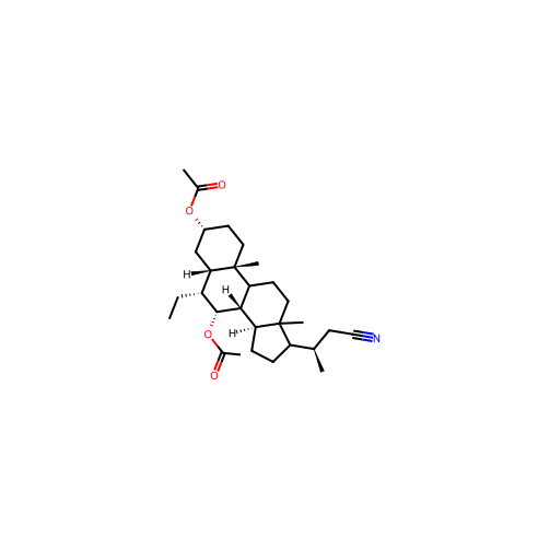 CC[C@H]1[C@@H](OC(C)=O)[C@@H]2C(CCC3(C)C([C@H](C)CC#N)CC[C@@H]23)[C@@]2(C)CC[C@@H](OC(C)=O)C[C@@H]12